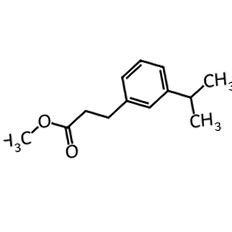 COC(=O)CCc1cccc(C(C)C)c1